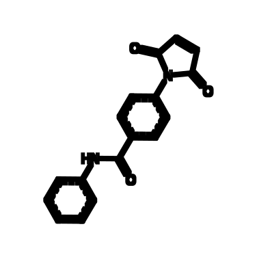 O=C(Nc1ccccc1)c1ccc(N2C(=O)C=CC2=O)cc1